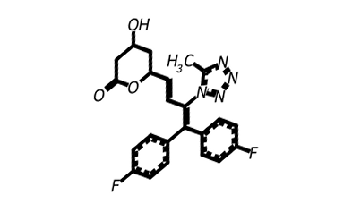 Cc1nnnn1C(/C=C/C1CC(O)CC(=O)O1)=C(c1ccc(F)cc1)c1ccc(F)cc1